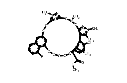 COC(=O)c1c(C)c2c3c(Cl)ccc2n1CCCOc1cc(cc2cccc(F)c12)CCc1cc(nn1C)CN(C)Cc1nn(C)c(C)c1-3